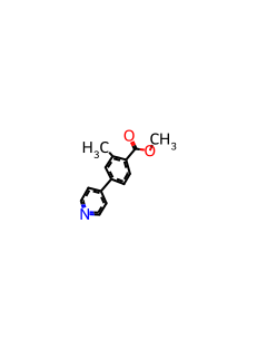 COC(=O)c1ccc(-c2ccncc2)cc1C